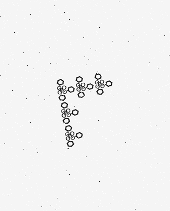 O=P(Oc1ccccc1)(Oc1ccccc1)Oc1ccccc1.O=P(Oc1ccccc1)(Oc1ccccc1)Oc1ccccc1.O=P(Oc1ccccc1)(Oc1ccccc1)Oc1ccccc1.O=P(Oc1ccccc1)(Oc1ccccc1)Oc1ccccc1.O=P(Oc1ccccc1)(Oc1ccccc1)Oc1ccccc1